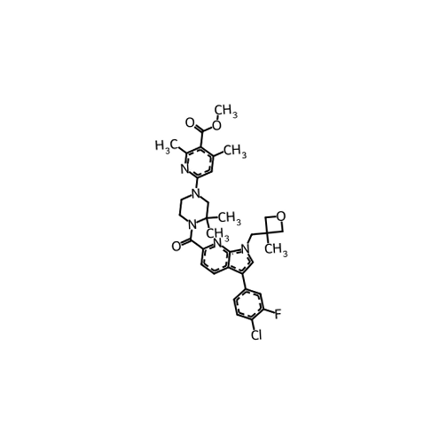 COC(=O)c1c(C)cc(N2CCN(C(=O)c3ccc4c(-c5ccc(Cl)c(F)c5)cn(CC5(C)COC5)c4n3)C(C)(C)C2)nc1C